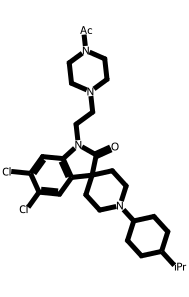 CC(=O)N1CCN(CCN2C(=O)C3(CCN(C4CCC(C(C)C)CC4)CC3)c3cc(Cl)c(Cl)cc32)CC1